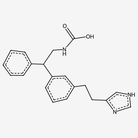 O=C(O)NCC(c1ccccc1)c1cccc(CCc2c[nH]cn2)c1